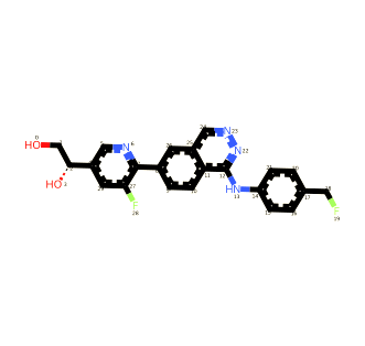 OC[C@@H](O)c1cnc(-c2ccc3c(Nc4ccc(CF)cc4)nncc3c2)c(F)c1